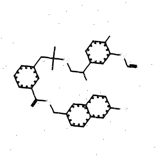 CC(C)(Cc1cccc(C(=O)NCc2ccc3cc(O)ccc3c2)c1)NCC(O)c1ccc(O)c(NC=O)c1